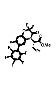 COC(=O)[C@H](CC(C)C)N1C(=O)C(F)(F)Oc2cc(F)c(-c3c(F)c(F)c(F)c(F)c3F)cc21